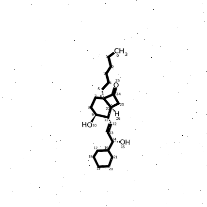 CCCCCC[C@@]12CC[C@H](O)[C@@H](/C=C/[C@H](O)C3CCCCC3)[C@@H]1CC2=O